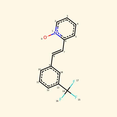 [O-][n+]1ccccc1/C=C/c1cccc(C(F)(F)F)c1